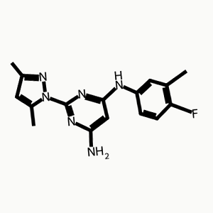 Cc1cc(C)n(-c2nc(N)cc(Nc3ccc(F)c(C)c3)n2)n1